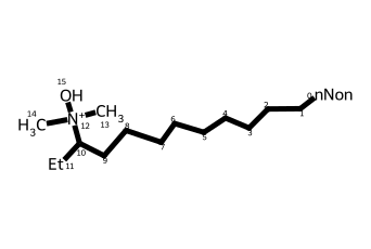 CCCCCCCCCCCCCCCCCCC(CC)[N+](C)(C)O